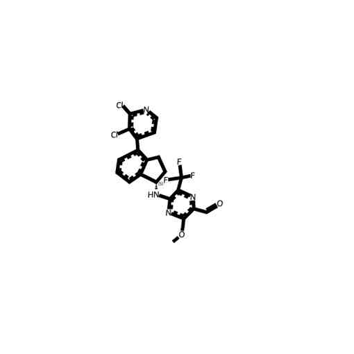 COc1nc(N[C@H]2CCc3c(-c4ccnc(Cl)c4Cl)cccc32)c(C(F)(F)F)nc1C=O